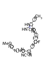 COc1ccc(CN2CCN(c3ccc(C4=CC(C5=CCN(c6cc(F)c(CN7CCN(c8ccc(C9=CC(C%10=CCN(C)CC%10)=CN/C9=C(/C#N)C=N)cn8)CC7)c(F)c6)CC5)=CN5N=CC(C#N)C45)cn3)CC2)cn1